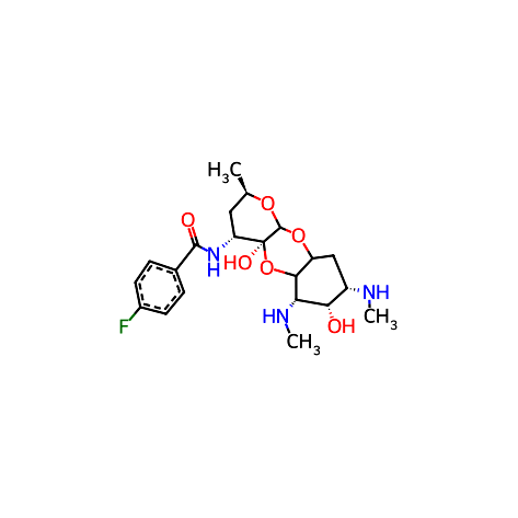 CN[C@H]1CC2OC3O[C@H](C)C[C@@H](NC(=O)c4ccc(F)cc4)[C@]3(O)OC2[C@@H](NC)[C@H]1O